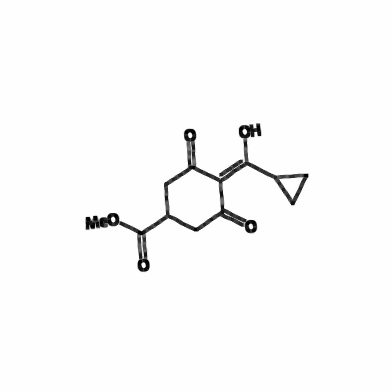 COC(=O)C1CC(=O)C(=C(O)C2CC2)C(=O)C1